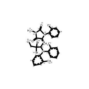 Cc1ccccc1N(c1ccccc1C)C(N=C1C(=O)N(C)C(=O)N1c1ccccc1F)C(Br)(Br)CCl